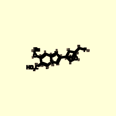 CCC(C)Oc1cc2nc(C34COC(CF)(C3)C4)cn2cc1C(=O)O